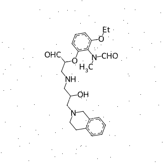 CCOc1cccc(OC(C=O)CNCC(O)CN2CCc3ccccc3C2)c1N(C)C=O